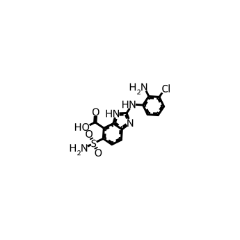 Nc1c(Cl)cccc1Nc1nc2ccc(S(N)(=O)=O)c(C(=O)O)c2[nH]1